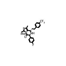 CNC(=O)C(N[C@@H](CCc1ccc(C(F)(F)F)cc1)c1sc(C)nc1C)c1ccc(F)cc1